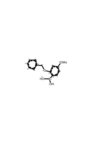 COc1ccc(B(O)O)c(OCc2ccccc2)c1